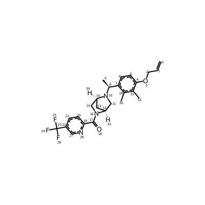 C=CCOc1ccc([C@H](C)N2C[C@@H]3C[C@H]2CN3C(=O)c2ccc(C(F)(F)F)cn2)c(C)c1C